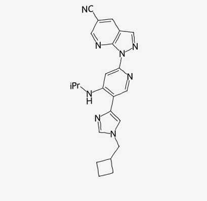 CC(C)Nc1cc(-n2ncc3cc(C#N)cnc32)ncc1-c1cn(CC2CCC2)cn1